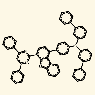 c1ccc(-c2cccc(N(c3ccc(-c4ccc(-c5nc(-c6ccccc6)nc(-c6ccccc6)n5)c5oc6ccccc6c45)cc3)c3cccc(-c4ccccc4)c3)c2)cc1